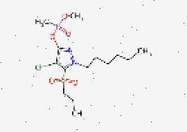 CCCCCCn1nc(OP(C)(=O)OC)c(Cl)c1S(=O)(=O)CCC